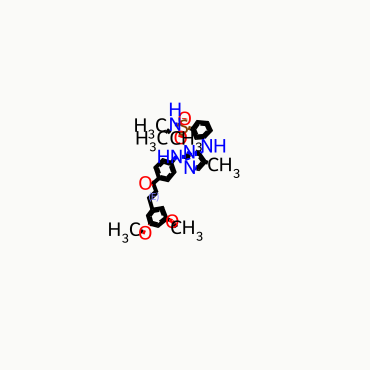 COc1cc(/C=C/C(=O)c2ccc(Nc3ncc(C)c(Nc4cccc(S(=O)(=O)NC(C)(C)C)c4)n3)cc2)cc(OC)c1